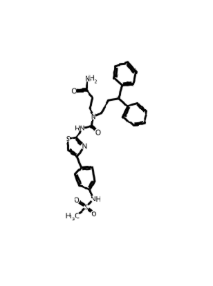 CS(=O)(=O)Nc1ccc(-c2csc(NC(=O)N(CCC(N)=O)CCC(c3ccccc3)c3ccccc3)n2)cc1